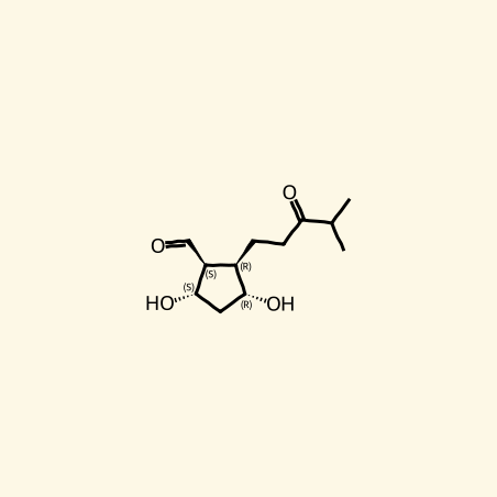 CC(C)C(=O)CC[C@@H]1[C@H](C=O)[C@@H](O)C[C@H]1O